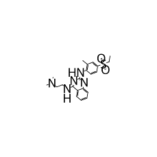 CCS(=O)(=O)c1ccc(Nc2nc(NCCN(C)C)c3ccccc3n2)c(C)c1